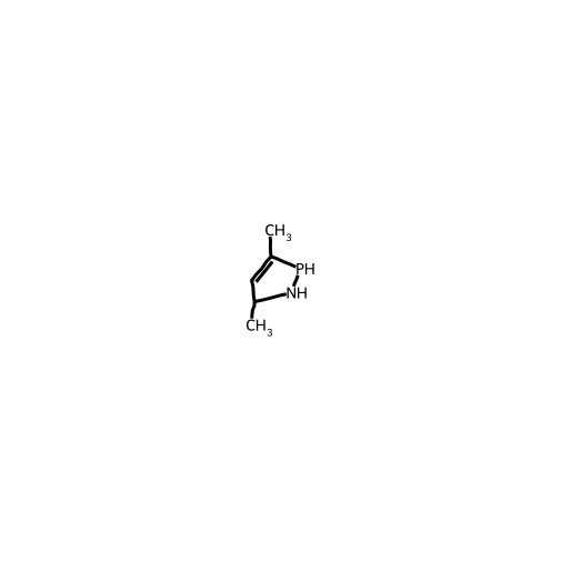 CC1=CC(C)NP1